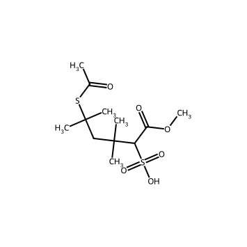 COC(=O)C(C(C)(C)CC(C)(C)SC(C)=O)S(=O)(=O)O